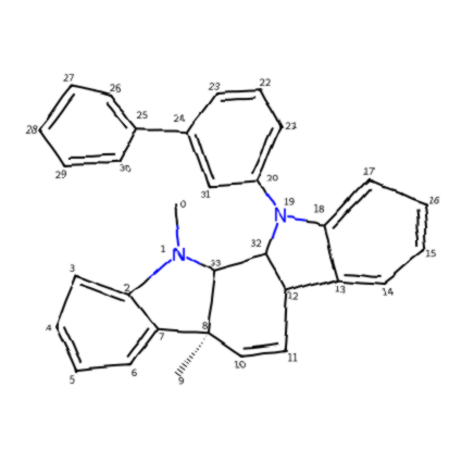 CN1c2ccccc2[C@]2(C)C=CC3c4ccccc4N(c4cccc(-c5ccccc5)c4)C3C12